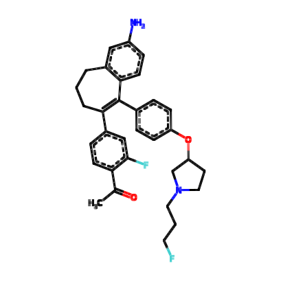 CC(=O)c1ccc(C2=C(c3ccc(OC4CCN(CCCF)C4)cc3)c3ccc(N)cc3CCC2)cc1F